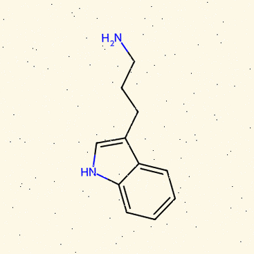 NCCCc1c[nH]c2ccccc12